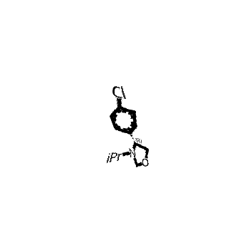 CC(C)N1COC[C@H]1c1ccc(Cl)cc1